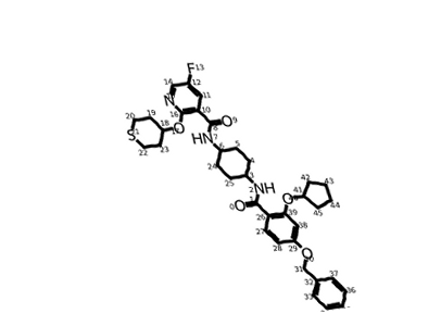 O=C(NC1CCC(NC(=O)c2cc(F)cnc2OC2CCSCC2)CC1)c1ccc(OCc2ccccc2)cc1OC1CCCC1